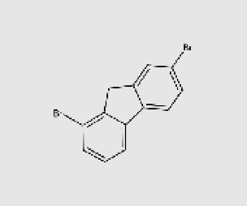 Brc1ccc2c(c1)Cc1c(Br)cccc1-2